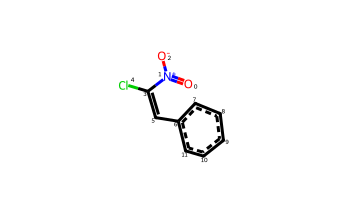 O=[N+]([O-])/C(Cl)=C\c1ccccc1